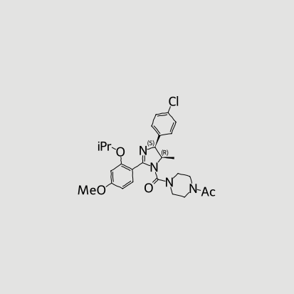 COc1ccc(C2=N[C@@H](c3ccc(Cl)cc3)[C@@H](C)N2C(=O)N2CCN(C(C)=O)CC2)c(OC(C)C)c1